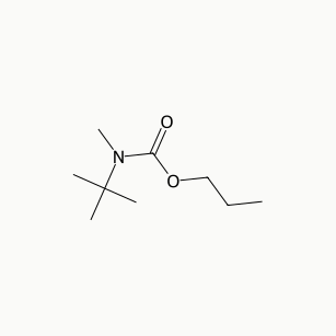 CCCOC(=O)N(C)C(C)(C)C